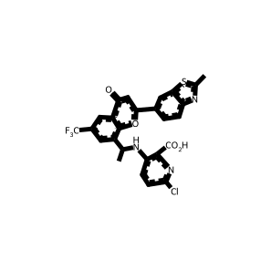 Cc1nc2ccc(-c3cc(=O)c4cc(C(F)(F)F)cc(C(C)Nc5ccc(Cl)nc5C(=O)O)c4o3)cc2s1